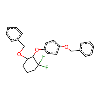 FC1(F)CCCC(OCc2ccccc2)C1Oc1ccc(OCc2ccccc2)cc1